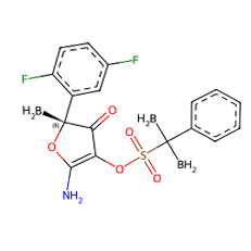 BC(B)(c1ccccc1)S(=O)(=O)OC1=C(N)O[C@](B)(c2cc(F)ccc2F)C1=O